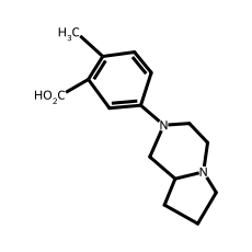 Cc1ccc(N2CCN3CCCC3C2)cc1C(=O)O